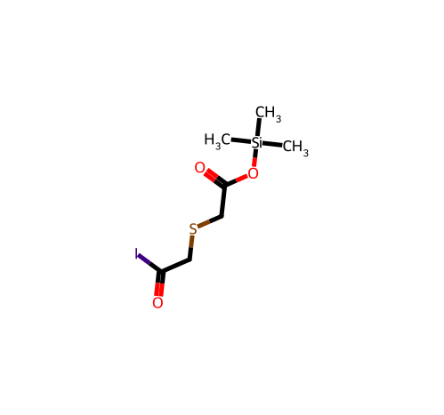 C[Si](C)(C)OC(=O)CSCC(=O)I